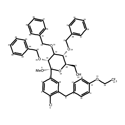 CO[C@@]1(c2ccc(Cl)c(Cc3ccc(OCC(F)(F)F)cc3)c2)O[C@H](CO)[C@@H](OCc2ccccc2)C(OCc2ccccc2)[C@H]1OCc1ccccc1